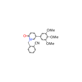 COc1cc(-c2ccc(=O)n(Cc3ccccc3C#N)c2)cc(OC)c1OC